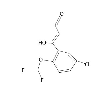 O=CC=C(O)c1cc(Cl)ccc1OC(F)F